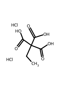 CCC(C(=O)O)(C(=O)O)C(=O)O.Cl.Cl